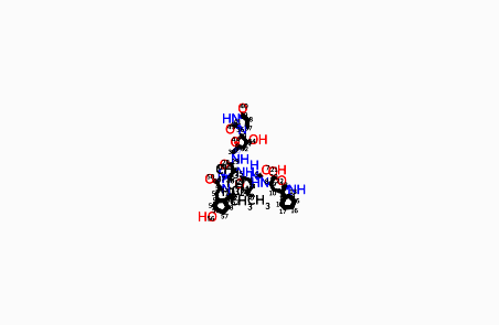 CC(C)CC(NC(=O)NC(Cc1c[nH]c2ccccc12)C(=O)O)C(=O)NC(C(=O)N/C=C1\C[C@@H](O)[C@H](n2ccc(=O)[nH]c2=O)O1)C(C)N(C)C(=O)C1Cc2cc(O)ccc2C(C)(C)N1